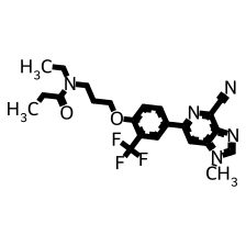 CCC(=O)N(CC)CCCOc1ccc(-c2cc3c(ncn3C)c(C#N)n2)cc1C(F)(F)F